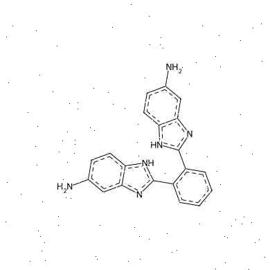 Nc1ccc2[nH]c(-c3ccccc3-c3nc4cc(N)ccc4[nH]3)nc2c1